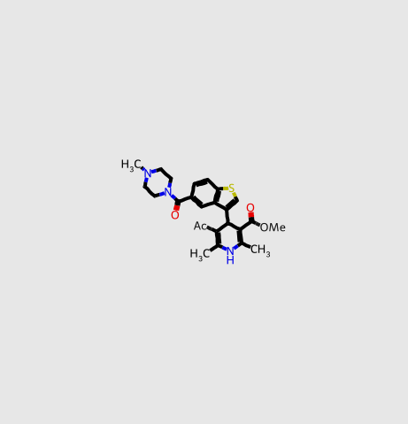 COC(=O)C1=C(C)NC(C)=C(C(C)=O)C1c1csc2ccc(C(=O)N3CCN(C)CC3)cc12